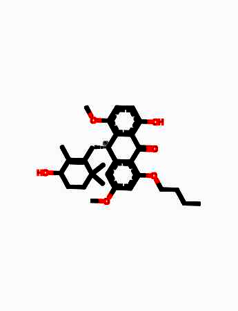 CCCCOc1cc(OC)cc2c1C(=O)c1c(O)ccc(OC)c1[C@H]2CC1=C(C)C(O)CCC1(C)C